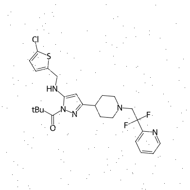 CC(C)(C)C(=O)n1nc(C2CCN(CC(F)(F)c3ccccn3)CC2)cc1NCc1ccc(Cl)s1